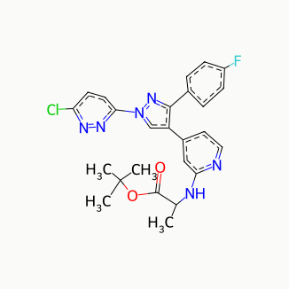 CC(Nc1cc(-c2cn(-c3ccc(Cl)nn3)nc2-c2ccc(F)cc2)ccn1)C(=O)OC(C)(C)C